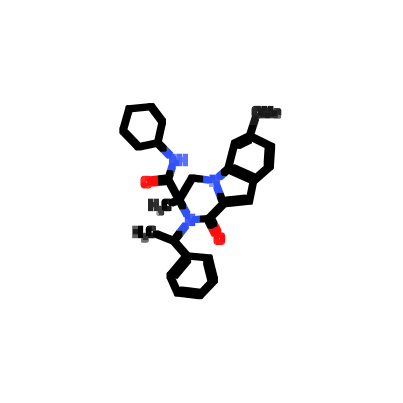 COc1ccc2cc3n(c2c1)CC(C)(C(=O)NC1CCCCC1)N(C(C)c1ccccc1)C3=O